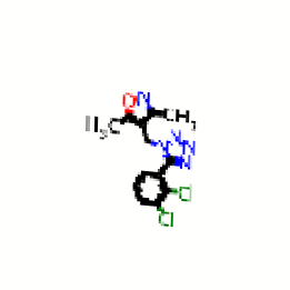 Cc1noc(C)c1Cn1nnnc1-c1cccc(Cl)c1Cl